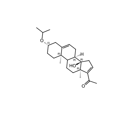 CC(=O)C1=CC[C@@]2(O)[C@@H]3CC=C4C[C@@H](OC(C)C)CC[C@]4(C)C3CC[C@]12C